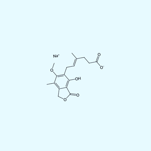 COc1c(C)c2c(c(O)c1C/C=C(\C)CCC(=O)[O-])C(=O)OC2.[Na+]